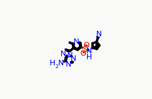 Cc1ncc(S(=O)(=O)NC23CCC(C#N)(C2)C3)cc1-c1cnc2c(N)ncnn12